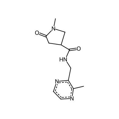 Cc1nccnc1CNC(=O)C1CC(=O)N(C)C1